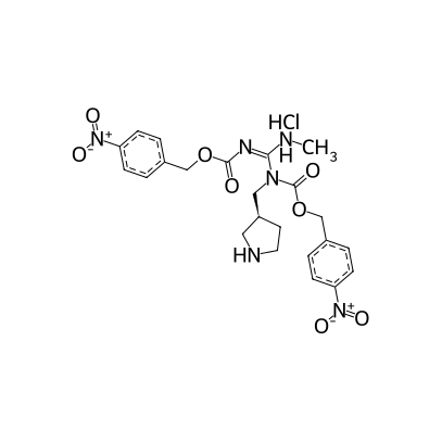 CNC(=NC(=O)OCc1ccc([N+](=O)[O-])cc1)N(C[C@H]1CCNC1)C(=O)OCc1ccc([N+](=O)[O-])cc1.Cl